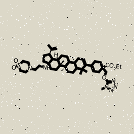 C=C(C)[C@@H]1CC[C@]2(NCCN3CCS(=O)(=O)CC3)CC[C@]3(C)[C@H](CCC4[C@@]5(C)CC=C(C6=CCC(COc7nnnn7C)(C(=O)OCC)CC6)C(C)(C)C5CC[C@]43C)C12